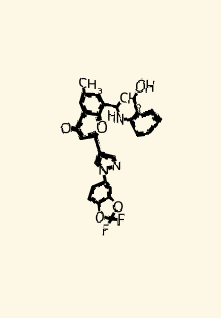 Cc1cc(C(C)Nc2ccccc2CO)c2oc(-c3cnn(-c4ccc5c(c4)OC(F)(F)O5)c3)cc(=O)c2c1